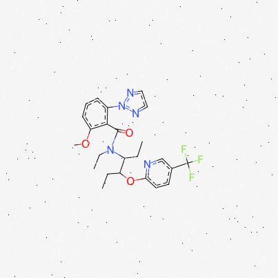 CCC(Oc1ccc(C(F)(F)F)cn1)C(CC)N(CC)C(=O)c1c(OC)cccc1-n1nccn1